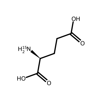 [15NH2][C@@H](CCC(=O)O)C(=O)O